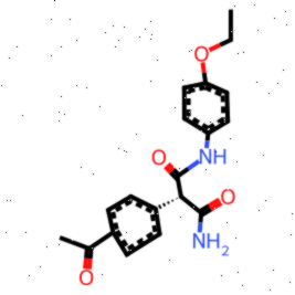 CCOc1ccc(NC(=O)[C@H](C(N)=O)c2ccc(C(C)=O)cc2)cc1